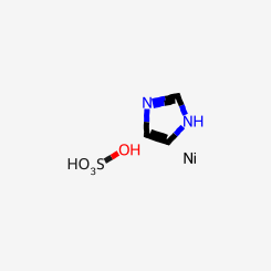 O=S(=O)(O)O.[Ni].c1c[nH]cn1